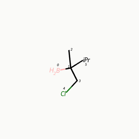 BC(C)(CCl)C(C)C